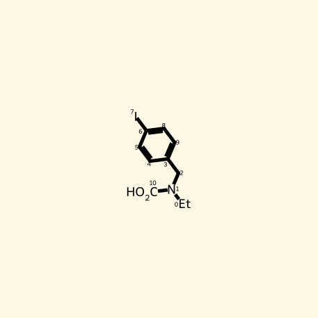 CCN(Cc1ccc(I)cc1)C(=O)O